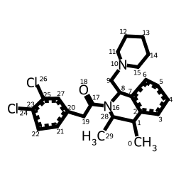 CC1c2ccccc2C(CN2CCCCC2)N(C(=O)Cc2ccc(Cl)c(Cl)c2)C1C